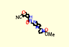 COC(=O)N1CCCC(c2ccc3cnc(CNC(=O)c4ccc5c(c4)[C@](C)(C#N)COC5)cc3n2)C1